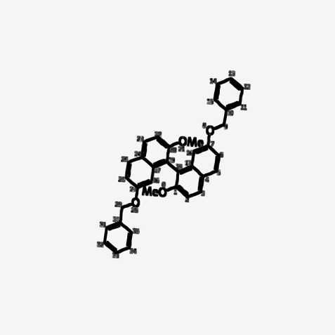 COc1ccc2ccc(OCc3ccccc3)cc2c1-c1c(OC)ccc2ccc(OCc3ccccc3)cc12